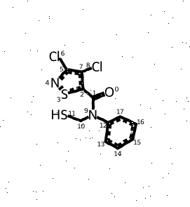 O=C(c1snc(Cl)c1Cl)N(CS)c1ccccc1